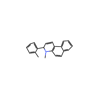 Cc1ccccc1C1C=Cc2c(ccc3ccccc23)N1C